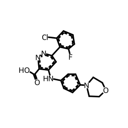 O=C(O)c1nnc(-c2c(F)cccc2Cl)cc1Nc1ccc(N2CCOCC2)cc1